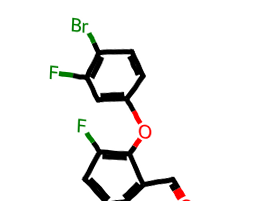 O=Cc1cccc(F)c1Oc1ccc(Br)c(F)c1